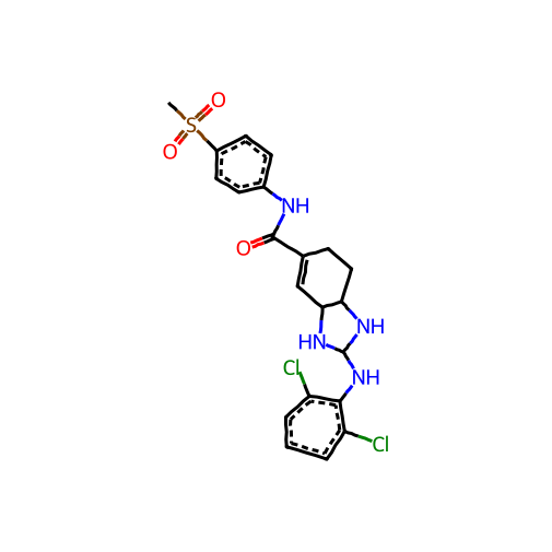 CS(=O)(=O)c1ccc(NC(=O)C2=CC3NC(Nc4c(Cl)cccc4Cl)NC3CC2)cc1